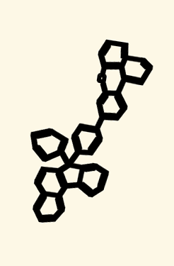 c1ccc(C2(c3ccc(-c4ccc5c(c4)Oc4cccc6cccc-5c46)cc3)c3ccccc3-c3c2ccc2ccccc32)cc1